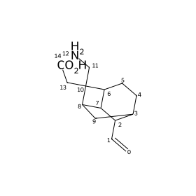 C=CC1C2CCC3C1C(C2)C3(CN)CC(=O)O